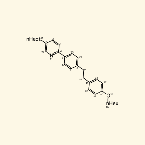 CCCCCCCc1ccc(-c2ccc(CCc3ccc(OCCCCCC)cc3)cc2)nc1